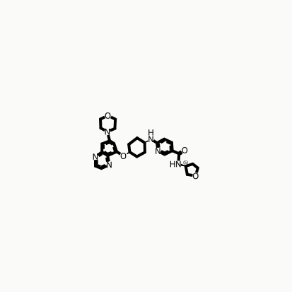 O=C(N[C@H]1CCOC1)c1ccc(N[C@H]2CC[C@@H](Oc3cc(N4CCOCC4)cc4nccnc34)CC2)nc1